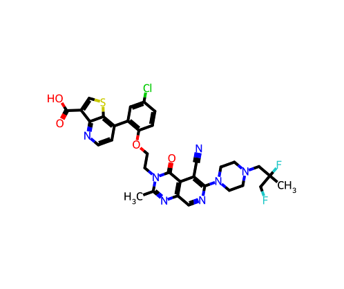 Cc1nc2cnc(N3CCN(CC(C)(F)CF)CC3)c(C#N)c2c(=O)n1CCOc1ccc(Cl)cc1-c1ccnc2c(C(=O)O)csc12